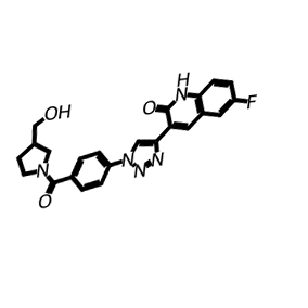 O=C(c1ccc(-n2cc(-c3cc4cc(F)ccc4[nH]c3=O)nn2)cc1)N1CCC(CO)C1